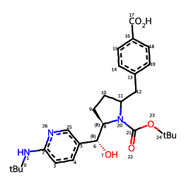 CC(C)(C)Nc1ccc([C@@H](O)[C@H]2CCC(Cc3ccc(C(=O)O)cc3)N2C(=O)OC(C)(C)C)cn1